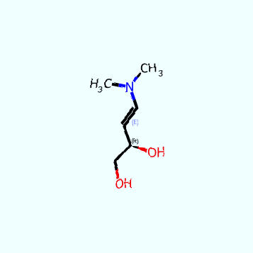 CN(C)/C=C/[C@@H](O)CO